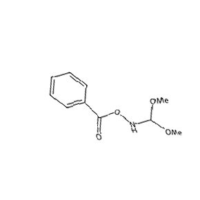 COC(NOC(=O)c1ccccc1)OC